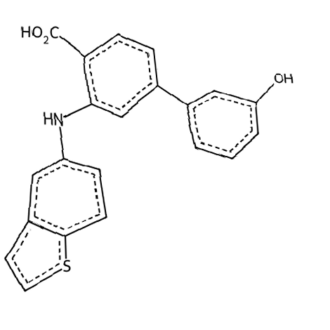 O=C(O)c1ccc(-c2cccc(O)c2)cc1Nc1ccc2sccc2c1